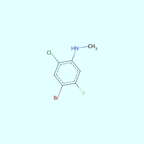 CNc1cc(F)c(Br)cc1Cl